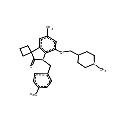 COc1ccc(CN2C(=O)C3(CCC3)c3cc(N)cc(OCC4CCN(C)CC4)c32)cc1